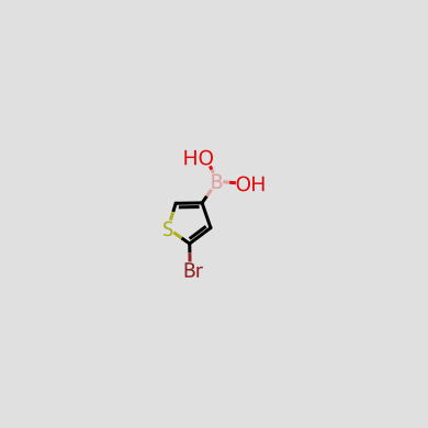 OB(O)c1csc(Br)c1